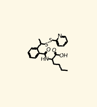 CCCCC(NC(=O)c1ccccc1C(C)SSc1ccccn1)C(=O)O